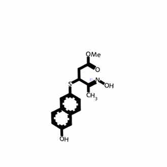 COC(=O)CC(Sc1ccc2cc(O)ccc2c1)/C(C)=N/O